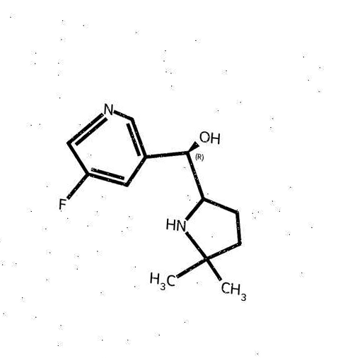 CC1(C)CCC([C@H](O)c2cncc(F)c2)N1